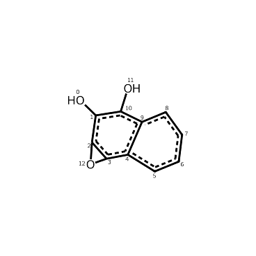 Oc1c2c(c3ccccc3c1O)O2